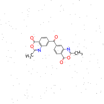 Cc1nc2cc(C(=O)c3ccc4c(=O)oc(C)nc4c3)ccc2c(=O)o1